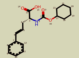 O=C(N[C@H](C/C=C/c1ccccc1)C(=O)O)OC1CCCCC1